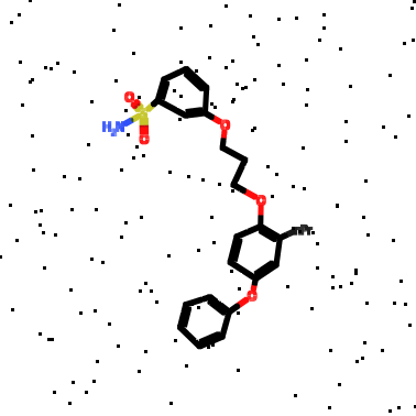 CCCc1cc(Oc2ccccc2)ccc1OCCCOc1cccc(S(N)(=O)=O)c1